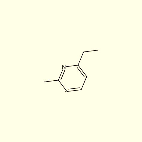 CCc1cc[c]c(C)n1